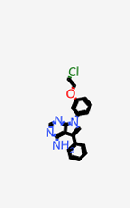 Nc1ncnc2c1c(-c1ccccc1)cn2-c1cccc(OCCCl)c1